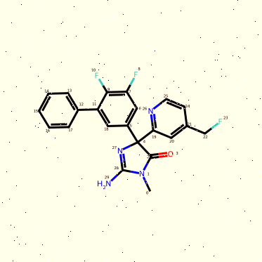 CN1C(=O)C(c2cc(F)c(F)c(-c3ccccc3)c2)(c2cc(CF)ccn2)N=C1N